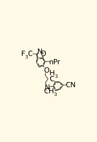 CCCc1c(OCCCN(C)c2ccc(C#N)cc2C)ccc2c(C(F)(F)F)noc12